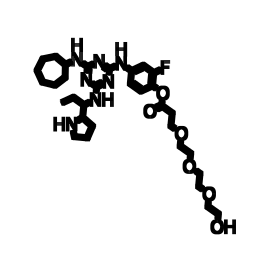 CCC(Nc1nc(Nc2ccc(OC(=O)CCOCCOCCOCCO)c(F)c2)nc(NC2CCCCCC2)n1)C1CCCN1